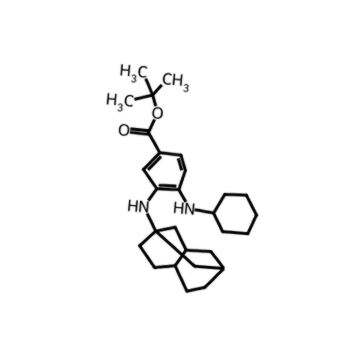 CC(C)(C)OC(=O)c1ccc(NC2CCCCC2)c(NC23CCC4CCC(CC4C2)C3)c1